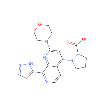 O=C(O)C1CCCN1c1cc(N2CCOCC2)nc2c(-c3ccn[nH]3)nccc12